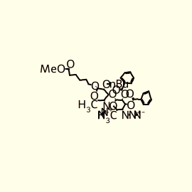 CCCCO[C@@H]1C(O[C@H]2OC(C)[C@@H](N=[N+]=[N-])C(OC(=O)c3ccccc3)[C@H]2OC(=O)c2ccccc2)[C@H](N=[N+]=[N-])C(C)O[C@@H]1OCCCCCC(=O)OC